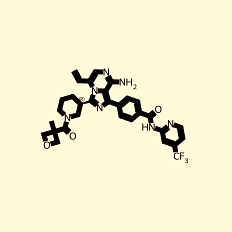 C=Cc1cnc(N)c2c(-c3ccc(C(=O)Nc4cc(C(F)(F)F)ccn4)cc3)nc([C@@H]3CCCN(C(=O)C4(C)COC4)C3)n12